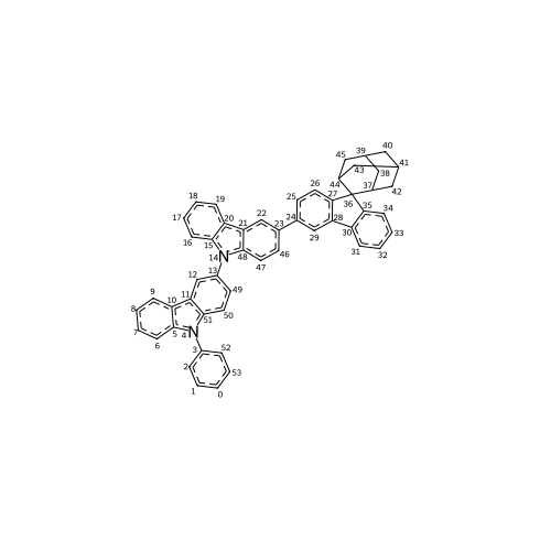 c1ccc(-n2c3ccccc3c3cc(-n4c5ccccc5c5cc(-c6ccc7c(c6)-c6ccccc6C76C7CC8CC(C7)CC6C8)ccc54)ccc32)cc1